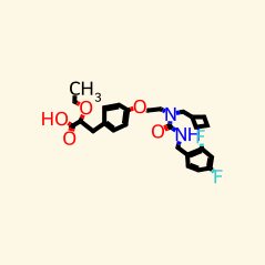 CCOC(Cc1ccc(OCCN(CC2CCC2)C(=O)NCc2ccc(F)cc2F)cc1)C(=O)O